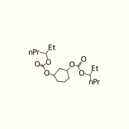 CCCC(CC)OC(=O)OC1CCCC(OC(=O)OC(CC)CCC)C1